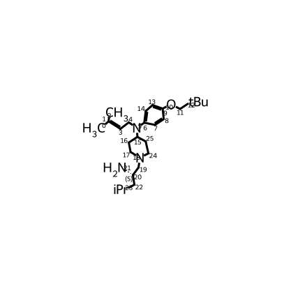 CC(C)=CCN(c1ccc(OCC(C)(C)C)cc1)C1CCN(C[C@@H](N)CC(C)C)CC1